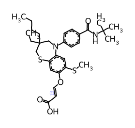 CCCCC1(CC)CSc2cc(O/C=C/C(=O)O)c(SC)cc2N(c2ccc(C(=O)NC(C)(C)C)cc2)C1